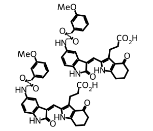 COc1cccc(S(=O)(=O)Nc2ccc3c(c2)C(=Cc2[nH]c4c(c2CCC(=O)O)C(=O)CCC4)C(=O)N3)c1.COc1cccc(S(=O)(=O)Nc2ccc3c(c2)C(=Cc2[nH]c4c(c2CCC(=O)O)C(=O)CCC4)C(=O)N3)c1